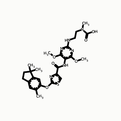 COc1nc(NCCN(C)C(=O)O)nc(OC)c1NC(=O)c1csc(Oc2cc3c(cc2C)CCC3(C)C)n1